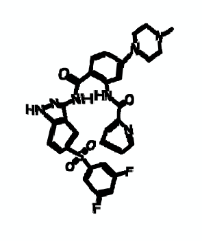 CN1CCN(c2ccc(C(=O)Nc3n[nH]c4ccc(S(=O)(=O)c5cc(F)cc(F)c5)cc34)c(NC(=O)c3ccccn3)c2)CC1